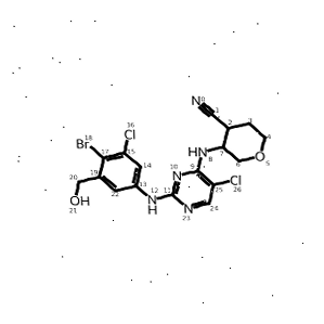 N#CC1CCOCC1Nc1nc(Nc2cc(Cl)c(Br)c(CO)c2)ncc1Cl